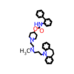 CN(CCCN1c2ccccc2CCc2ccccc21)CCN1CCC(OC(=O)Nc2ccccc2-c2ccccc2)CC1